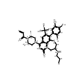 C=CC(=O)N1[C@H](C)CN(c2nc(=O)n3c4c(c(-c5cc(Cl)c(F)cc5F)c(C(F)(F)F)cc24)SCC(NCCC)C3)C[C@@H]1C